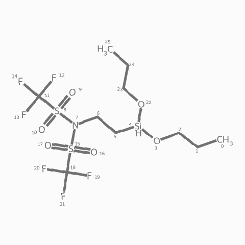 CCCO[SiH](CCN(S(=O)(=O)C(F)(F)F)S(=O)(=O)C(F)(F)F)OCCC